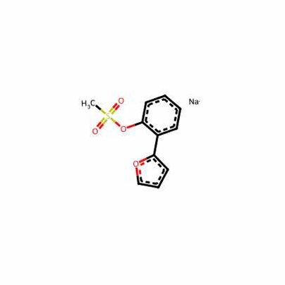 CS(=O)(=O)Oc1ccccc1-c1ccco1.[Na]